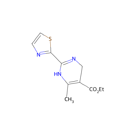 CCOC(=O)C1=C(C)NC(c2nccs2)=NC1